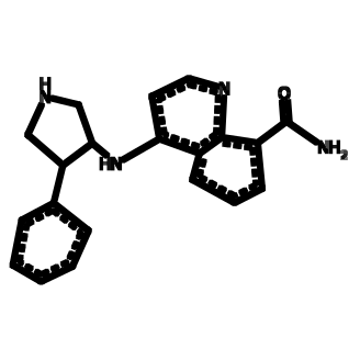 NC(=O)c1cccc2c(NC3CNCC3c3ccccc3)ccnc12